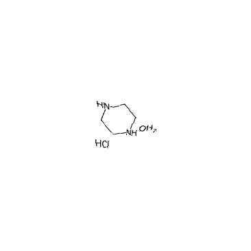 C1CNCCN1.Cl.O